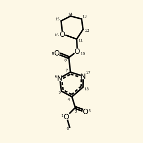 COC(=O)c1cnc(C(=O)OC2CCCCO2)nc1